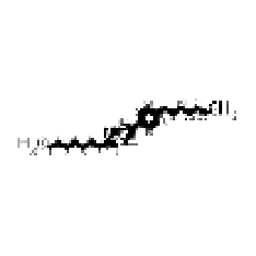 CCCCCCCCc1cn2cc(-c3ccc(CCCCCCC)cc3)sc2n1